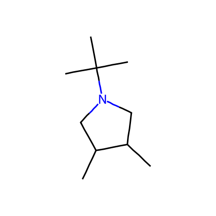 CC1CN(C(C)(C)C)CC1C